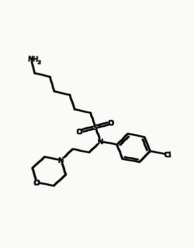 NCCCCCCS(=O)(=O)N(CCN1CCOCC1)c1ccc(Cl)cc1